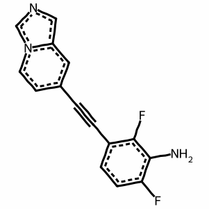 Nc1c(F)ccc(C#Cc2ccn3cncc3c2)c1F